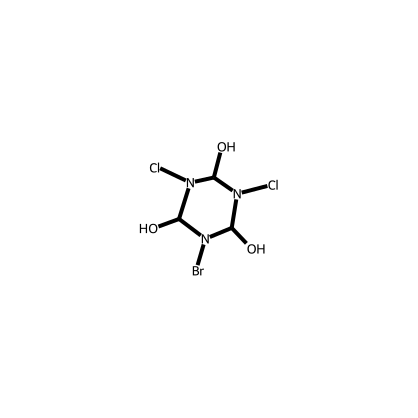 OC1N(Cl)C(O)N(Br)C(O)N1Cl